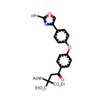 CCCc1nc(-c2ccc(Oc3ccc(C(=O)CC(NC(C)=O)(C(=O)OCC)C(=O)OCC)cc3)cc2)co1